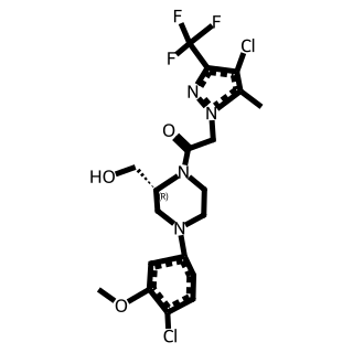 COc1cc(N2CCN(C(=O)Cn3nc(C(F)(F)F)c(Cl)c3C)[C@@H](CO)C2)ccc1Cl